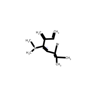 C=CC(=C)/C(=C\C(Br)=C(C)C)N(C)C